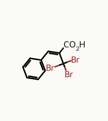 O=C(O)C(=Cc1ccccc1)C(Br)(Br)Br